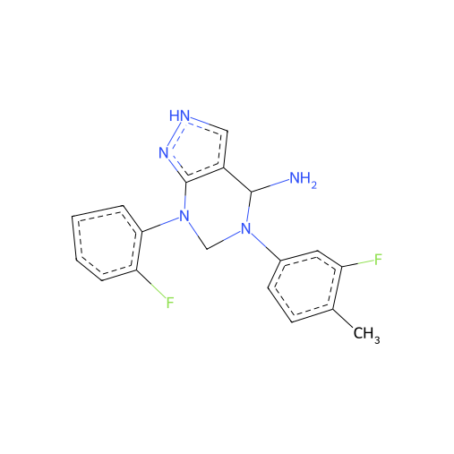 Cc1ccc(N2CN(c3ccccc3F)c3n[nH]cc3C2N)cc1F